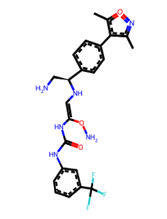 Cc1noc(C)c1-c1ccc([C@H](CN)N/C=C(/NC(=O)Nc2cccc(C(F)(F)F)c2)ON)cc1